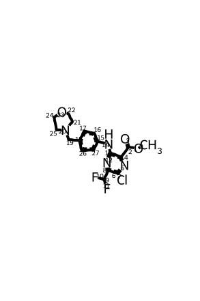 COC(=O)c1nc(Cl)c(C(F)F)nc1Nc1ccc(CN2CCOCC2)cc1